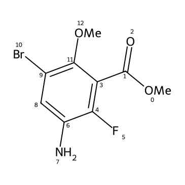 COC(=O)c1c(F)c(N)cc(Br)c1OC